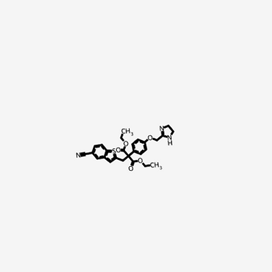 CCOC(=O)C(Cc1cc2cc(C#N)ccc2s1)(C(=O)OCC)c1ccc(OCC2=NCCN2)cc1